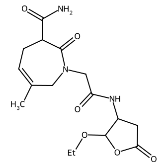 CCOC1OC(=O)CC1NC(=O)CN1CC(C)=CCC(C(N)=O)C1=O